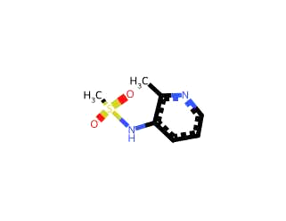 Cc1ncc[c]c1NS(C)(=O)=O